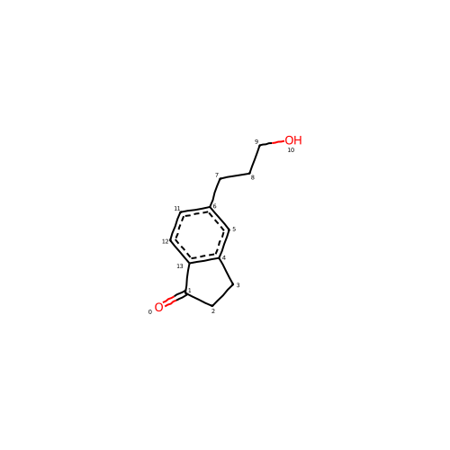 O=C1CCc2cc(CCCO)ccc21